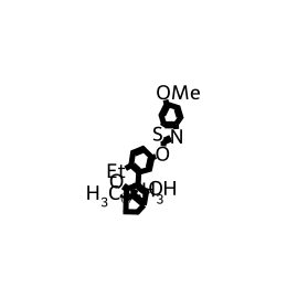 CCc1ccc(Oc2nc3ccc(OC)cc3s2)cc1C1=C(O)C2=C(C)[C@](C)(CC2)C1=O